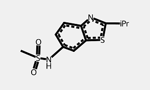 CC(C)c1nc2ccc(NS(C)(=O)=O)cc2s1